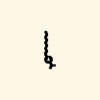 CCCCCCC/C=C/c1ccc(C(C)C)cc1